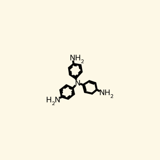 Nc1ccc(N(C2=CCC(N)C=C2)c2ccc(N)cc2)cc1